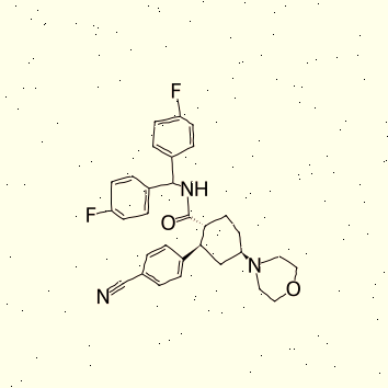 N#Cc1ccc([C@@H]2C[C@H](N3CCOCC3)CC[C@H]2C(=O)NC(c2ccc(F)cc2)c2ccc(F)cc2)cc1